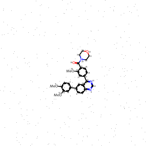 COc1ccc(-c2ccc3ncnc(-c4ccc(C(=O)N5CCOCC5)c(OC)c4)c3c2)cc1OC